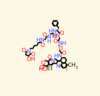 CC[C@@]1(O)C(=O)OCc2c1cc1n(c2=O)Cc2c-1nc1cc(F)c(C)c3c1c2[C@@H](NC(=O)COCNC(=O)CNC(=O)[C@H](Cc1ccccc1)NC(=O)CNC(=O)CNC(=O)CCCCCN1C(=O)CC(O)C1=O)CC3